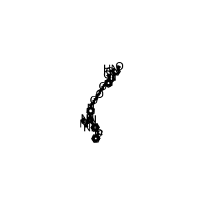 Nc1ncnc2c1c(-c1ccc(Oc3ccccc3)cc1)nn2C1CCN(CCOCCOCCOc2ccc3c(c2)C(=O)N(C2CCC(=O)NC2=O)C3)CC1